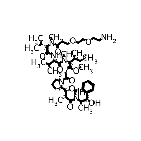 CC[C@H](C)[C@@H]([C@@H](CC(=O)N1CCC[C@H]1[C@H](OC)[C@@H](C)C(=O)NC(C)[C@@H](O)c1ccccc1)OC)N(C)C(=O)[C@@H](NC(=O)[C@H](C(C)C)N(C)C(=O)CCOCCOCCN)C(C)C